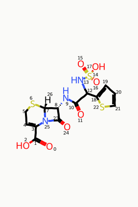 O=C(O)C1=CCS[C@@H]2[C@H](NC(=O)C(NS(=O)(=O)O)c3cccs3)C(=O)N12